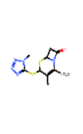 CC1=C(C(=O)O)N2C(=O)CC2SC1Sc1nnnn1C